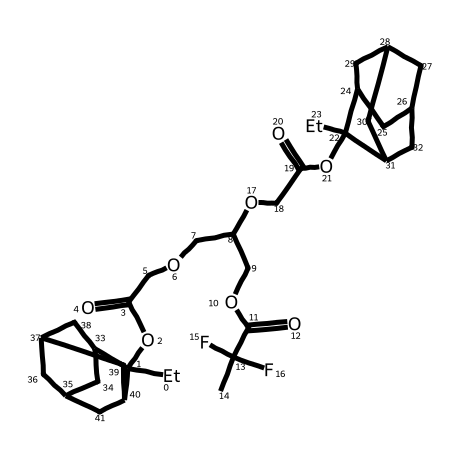 CCC1(OC(=O)COCC(COC(=O)C(C)(F)F)OCC(=O)OC2(CC)C3CC4CC(C3)CC2C4)C2CC3CC(C2)CC1C3